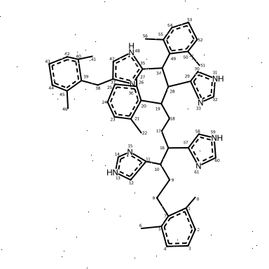 Cc1cccc(C)c1CCC(c1c[nH]cn1)C(CCC(c1c(C)cccc1C)C(c1c[nH]cn1)C(c1nc(Cc2c(C)cccc2C)c[nH]1)c1c(C)cccc1C)c1c[nH]cn1